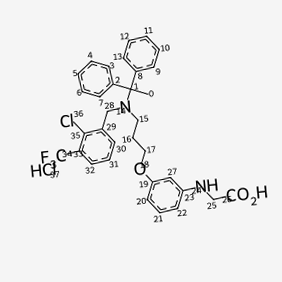 CC(c1ccccc1)(c1ccccc1)N(CCCOc1cccc(NCC(=O)O)c1)Cc1cccc(C(F)(F)F)c1Cl.Cl